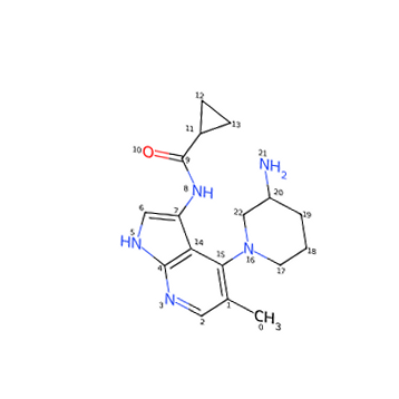 Cc1cnc2[nH]cc(NC(=O)C3CC3)c2c1N1CCCC(N)C1